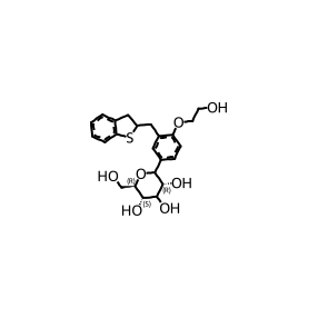 OCCOc1ccc(C2O[C@H](CO)[C@@H](O)C(O)[C@H]2O)cc1CC1Cc2ccccc2S1